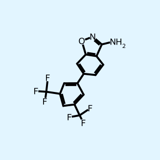 Nc1noc2cc(-c3cc(C(F)(F)F)cc(C(F)(F)F)c3)ccc12